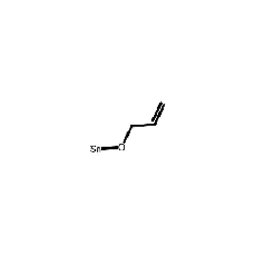 C=CC[O][Sn]